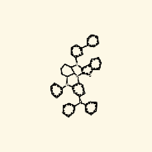 c1ccc(-c2cccc(N3c4c(sc5ccccc45)B4c5ccc(N(c6ccccc6)c6ccccc6)cc5N(c5ccccc5)C5CCCC3C45)c2)cc1